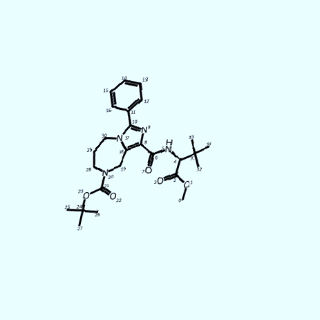 COC(=O)[C@@H](NC(=O)c1nc(-c2ccccc2)n2c1CN(C(=O)OC(C)(C)C)CCC2)C(C)(C)C